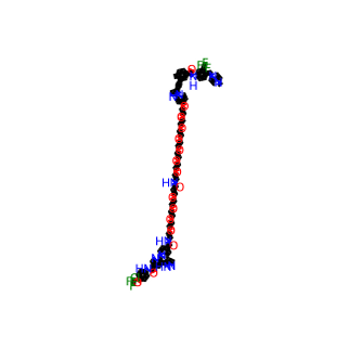 Cc1ccc(C(=O)Nc2ccc(CN3CCN(C)CC3)c(C(F)(F)F)c2)cc1C#Cc1cnc2cc(OCCOCCOCCOCCOCCOCCOCCNC(=O)CCOCCOCCOCCOCCNC(=O)C3CCN(c4ncc(C(=O)Nc5ccc(OC(F)(F)Cl)cc5)cc4-c4ccn[nH]4)CC3)ccn12